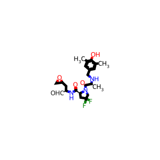 Cc1cc(CN[C@@H](C)C(=O)N2CC(F)(F)C[C@H]2C(=O)N[C@H](C=O)CC2CO2)cc(C)c1O